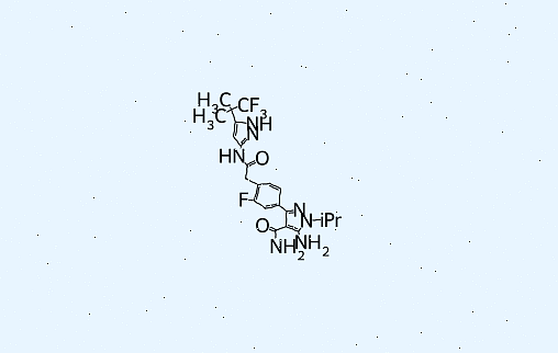 CC(C)n1nc(-c2ccc(CC(=O)Nc3cc(C(C)(C)C(F)(F)F)[nH]n3)c(F)c2)c(C(N)=O)c1N